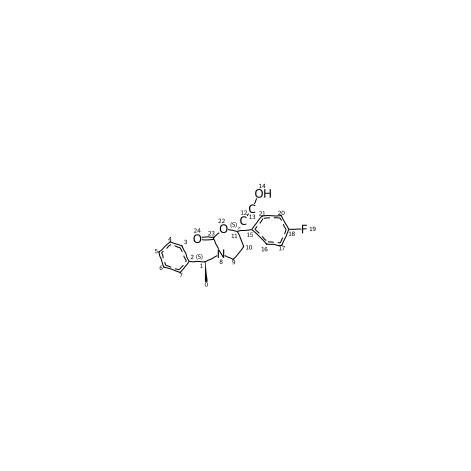 C[C@@H](c1ccccc1)N1CC[C@](CCO)(c2ccc(F)cc2)OC1=O